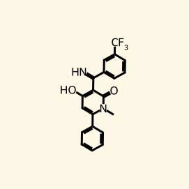 Cn1c(-c2ccccc2)cc(O)c(C(=N)c2cccc(C(F)(F)F)c2)c1=O